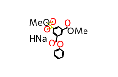 COC(=O)c1cc(C(=O)Oc2ccccc2)cc(S(=O)(=O)OC)c1.[NaH]